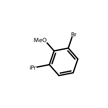 COc1c(Br)cccc1C(C)C